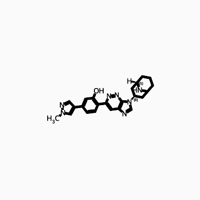 Cn1cc(-c2ccc(-c3cc4ncn([C@@H]5CC6CCC[C@@H](C5)N6)c4nn3)c(O)c2)cn1